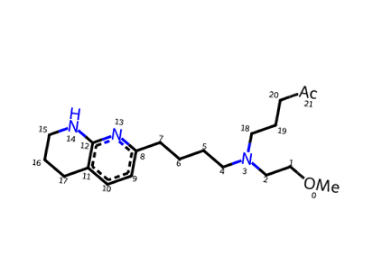 COCCN(CCCCc1ccc2c(n1)NCCC2)CCCC(C)=O